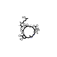 COc1cc2cc(c1Cl)N(C)C(=O)C[C@H](OC(=O)[C@H](C)N(C)C(=O)CCC(C)S)C1(C)OC1[C@H](C)C1C[C@@](O)(NC(=O)O1)[C@H](OC)/C=C/C=C(\C)C2